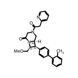 COC[C@@H]1[C@H](c2ccc(-c3ccccc3C)cc2)[C@@H]2CN(C(=O)Cc3ccccn3)CC(=O)N12